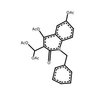 CC(=O)Oc1ccc2c(c1)c(OC(C)=O)c(C(OC(C)=O)OC(C)=O)c(=O)n2Cc1ccccc1